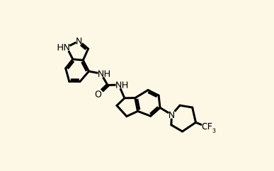 O=C(Nc1cccc2[nH]ncc12)NC1CCc2cc(N3CCC(C(F)(F)F)CC3)ccc21